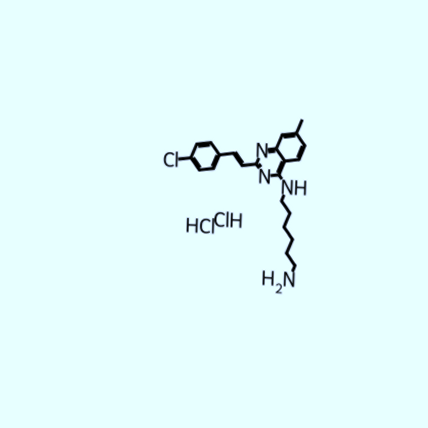 Cc1ccc2c(NCCCCCCN)nc(C=Cc3ccc(Cl)cc3)nc2c1.Cl.Cl